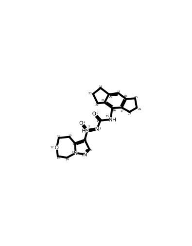 O=C(/N=[SH](=O)/c1cnn2c1CCOCC2)Nc1c2c(cc3c1CCC3)CCC2